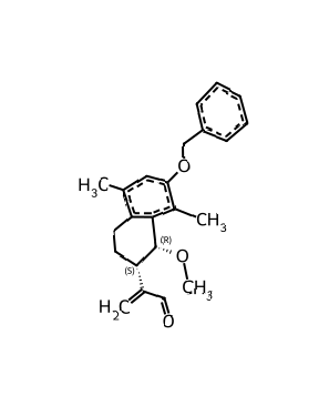 C=C(C=O)[C@@H]1CCc2c(C)cc(OCc3ccccc3)c(C)c2[C@@H]1OC